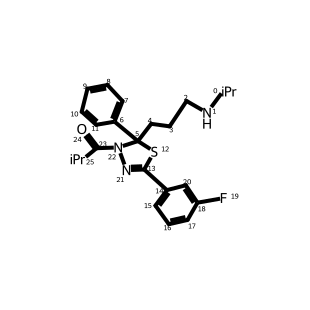 CC(C)NCCCC1(c2ccccc2)SC(c2cccc(F)c2)=NN1C(=O)C(C)C